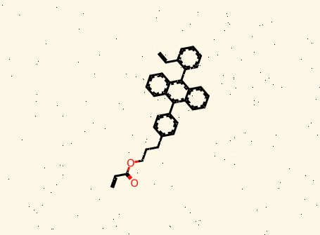 C=CC(=O)OCCCc1ccc(-c2c3ccccc3c(-c3ccccc3C=C)c3ccccc23)cc1